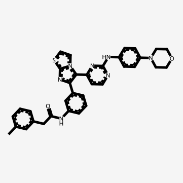 Cc1cccc(CC(=O)Nc2cccc(-c3nc4sccn4c3-c3ccnc(Nc4ccc(N5CCOCC5)cc4)n3)c2)c1